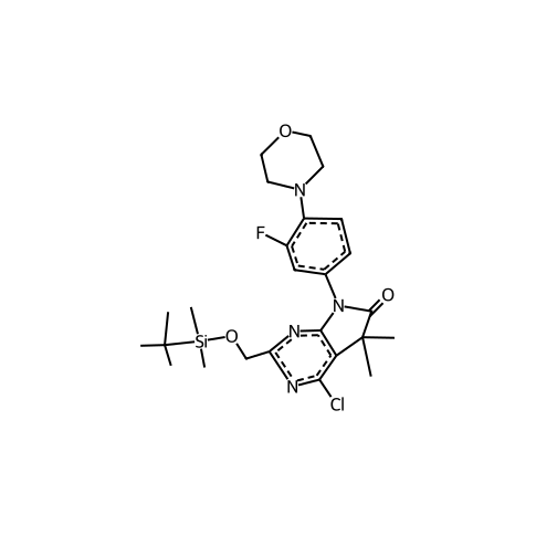 CC1(C)C(=O)N(c2ccc(N3CCOCC3)c(F)c2)c2nc(CO[Si](C)(C)C(C)(C)C)nc(Cl)c21